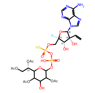 C=C[C@]1(O)[C@H](n2cnc3c(N)ncnc32)O[C@](F)(COP(=O)(S)OP(=O)(O)OC2OC([C@H](COC(C)=O)OC(C)=O)C(OC(C)=O)C(O)C2OC(C)=O)[C@H]1O